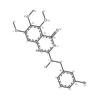 COc1cc2[nH]c(N(C)Cc3cccc(Br)c3)nc(=O)c2c(OC)c1OC